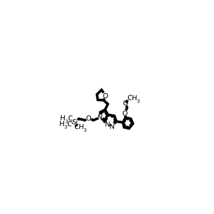 COCOc1ccccc1-c1cc2c(CC3CCCO3)cn(COCC[Si](C)(C)C)c2nn1